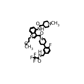 COCCn1cc(C(=O)N2CCC(c3cc(CNC(=O)C(F)(F)F)ccc3F)CC2)c2c(NC(=O)C3CCN(C)CC3)cccc21